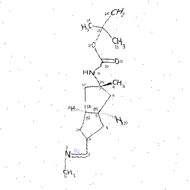 C/N=C/C1C[C@@H]2C[C@@](C)(NC(=O)OC(C)(C)C)C[C@@H]2C1